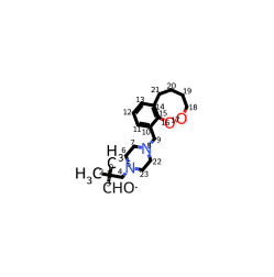 CC(C)([C]=O)CN1CCN(Cc2cccc3c2OOCCCC3)CC1